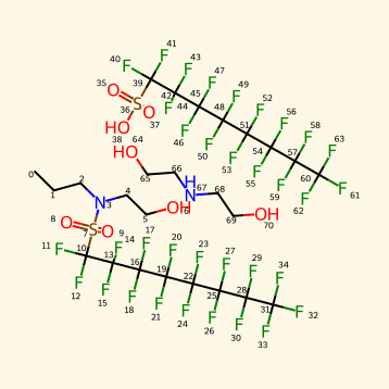 CCCN(CCO)S(=O)(=O)C(F)(F)C(F)(F)C(F)(F)C(F)(F)C(F)(F)C(F)(F)C(F)(F)C(F)(F)F.O=S(=O)(O)C(F)(F)C(F)(F)C(F)(F)C(F)(F)C(F)(F)C(F)(F)C(F)(F)C(F)(F)F.OCCNCCO